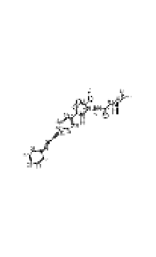 COC(=O)[C@H](CNC(=O)CNC1CC1)NC(=O)c1ccc(C#CC#Cc2ccccc2)cc1